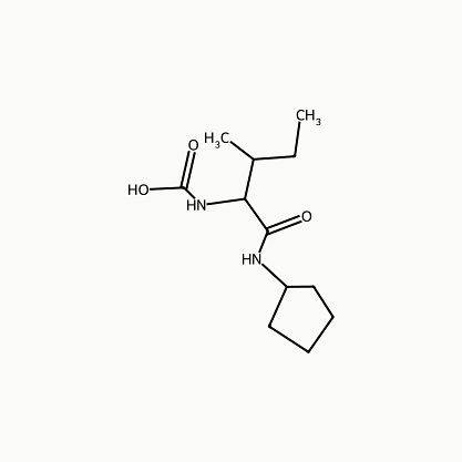 CCC(C)C(NC(=O)O)C(=O)NC1CCCC1